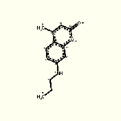 CCCNc1ccc2c(C)cc(=O)oc2c1